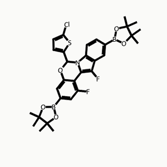 CC1(C)OB(c2cc(F)c3c(c2)OC(c2ccc(Cl)s2)n2c-3c(F)c3cc(B4OC(C)(C)C(C)(C)O4)ccc32)OC1(C)C